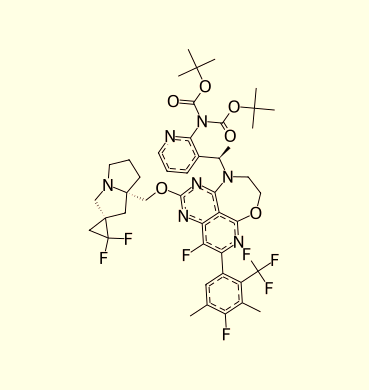 Cc1cc(-c2nc3c4c(nc(OC[C@@]56CCCN5C[C@]5(CC5(F)F)C6)nc4c2F)N([C@H](C)c2cccnc2N(C(=O)OC(C)(C)C)C(=O)OC(C)(C)C)CCO3)c(C(F)(F)F)c(C)c1F